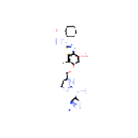 COc1cc(OCc2ccnc(Nc3cnn(C)c3)n2)c(Cl)c2sc(NC3CCCC[C@@H]3O)nc12